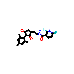 Cc1cc(C)c(C2C(=O)CC(CCNC(=O)c3ccc(F)nc3F)C2=O)c(C)c1